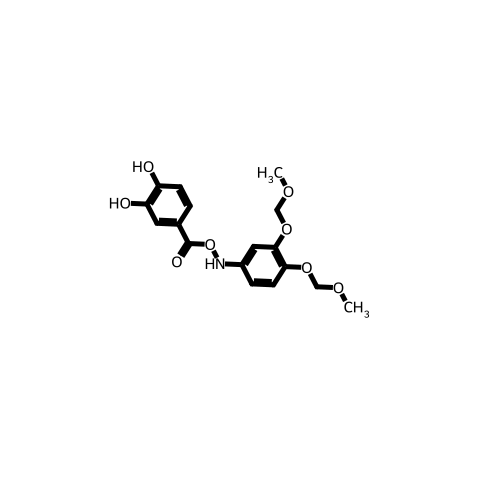 COCOc1ccc(NOC(=O)c2ccc(O)c(O)c2)cc1OCOC